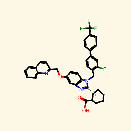 O=C(O)C1CCCC[C@H]1c1nc2cc(OCc3ccc4ccccc4n3)ccc2n1Cc1ccc(-c2ccc(C(F)(F)F)cc2)cc1F